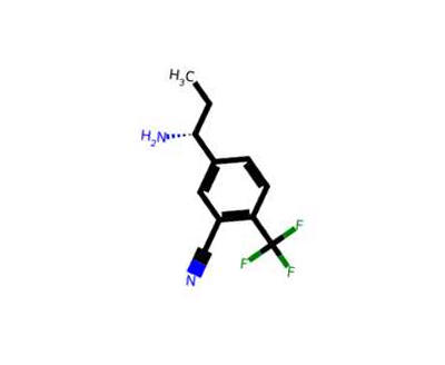 CC[C@@H](N)c1ccc(C(F)(F)F)c(C#N)c1